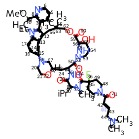 CCn1c(-c2cccnc2[C@H](C)OC)c2c3cc(ccc31)N1CCO[C@@H](C[C@H](NC(=O)[C@H](C(C)C)N(C)C(=O)C3(F)CCN(C(=O)/C=C/CN(C)C)CC3)C(=O)N3CCC[C@@](O)(N3)C(=O)OCC(C)(C)C2)C1